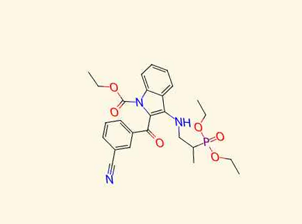 CCOC(=O)n1c(C(=O)c2cccc(C#N)c2)c(NCC(C)P(=O)(OCC)OCC)c2ccccc21